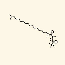 CC(C)CCCCCCCCCCCCCCCOC(=O)C(C)OC(=O)C(C)(C)C